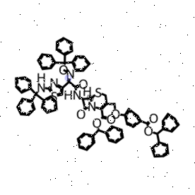 O=C(OC(c1ccccc1)c1ccccc1)C1=C(COc2ccc(C(=O)OC(c3ccccc3)c3ccccc3)cc2)CS[C@@H]2C(NC(=O)/C(=N/OC(c3ccccc3)(c3ccccc3)c3ccccc3)c3csc(NC(c4ccccc4)(c4ccccc4)c4ccccc4)n3)C(=O)N12